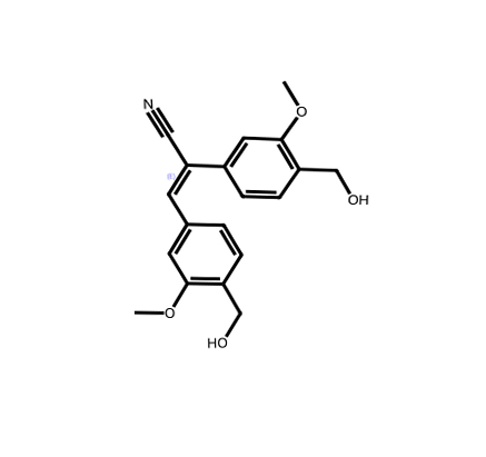 COc1cc(/C=C(/C#N)c2ccc(CO)c(OC)c2)ccc1CO